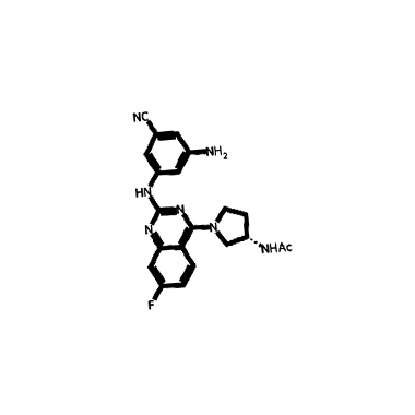 CC(=O)N[C@H]1CCN(c2nc(Nc3cc(N)cc(C#N)c3)nc3cc(F)ccc23)C1